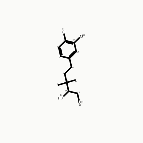 CC(C)(CCc1ccc(Cl)c(Cl)c1)C(O)CO